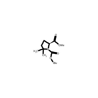 COC(=O)[C@@H]1CCC(C)(C)N1C(=O)OC(C)(C)C